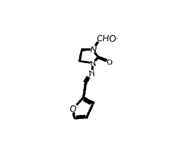 O=[C]N1CCN(N=Cc2ccco2)C1=O